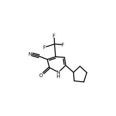 N#Cc1c(C(F)(F)F)cc(C2CCCC2)[nH]c1=O